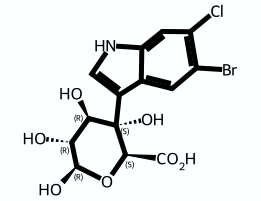 O=C(O)[C@H]1O[C@@H](O)[C@H](O)[C@@H](O)[C@@]1(O)c1c[nH]c2cc(Cl)c(Br)cc12